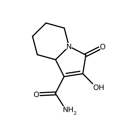 NC(=O)C1=C(O)C(=O)N2CCCCC12